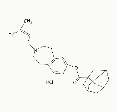 CC(C)=CCN1CCc2ccc(OC(=O)C34CC5CC(CC(C5)C3)C4)cc2CC1.Cl